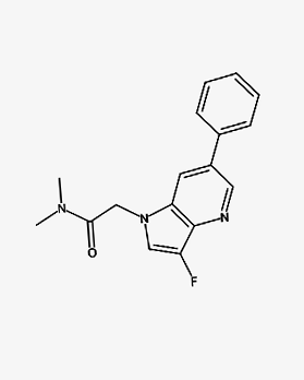 CN(C)C(=O)Cn1cc(F)c2ncc(-c3ccccc3)cc21